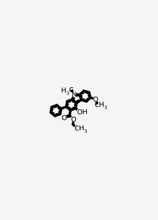 CCOC(=O)c1c(-c2ccccc2)cc2c(c1O)c1cc(OC)ccc1n2C